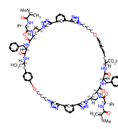 CN[C@@H](C)C(=O)N[C@H](C(=O)N1C[C@@H]2C[C@H]1C(=O)N[C@@H](Cc1ccccc1)C(=O)N[C@H](C(=O)O)Cc1ccc(cc1)OCCCn1cc(nn1)-c1cccc(c1)-c1cn(nn1)[C@H]1C[C@@H](C(=O)N[C@@H](Cc3ccccc3)C(=O)N[C@H](C(=O)O)Cc3ccc(cc3)OCCCn3cc(nn3)-c3cccc(c3)-c3cn2nn3)N(C(=O)[C@@H](NC(=O)[C@H](C)NC)C(C)C)C1)C(C)C